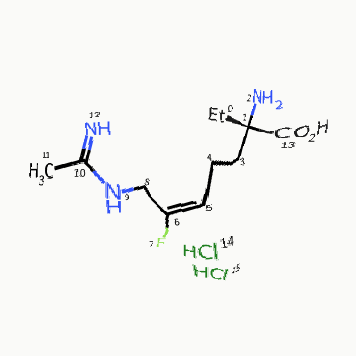 CC[C@](N)(CC/C=C(/F)CNC(C)=N)C(=O)O.Cl.Cl